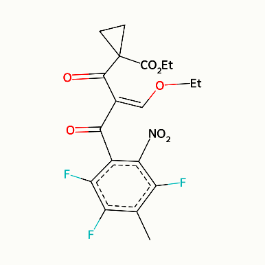 CCOC=C(C(=O)c1c(F)c(F)c(C)c(F)c1[N+](=O)[O-])C(=O)C1(C(=O)OCC)CC1